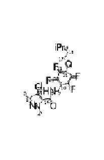 Cc1nn(C)c(C(=O)NCc2c(F)c(F)c(OCCC(C)C)c(F)c2F)c1Cl